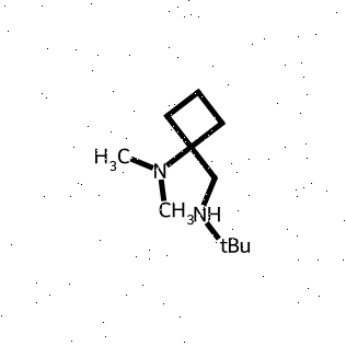 CN(C)C1(CNC(C)(C)C)CCC1